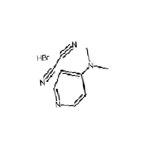 Br.CN(C)c1ccncc1.N#CC#N